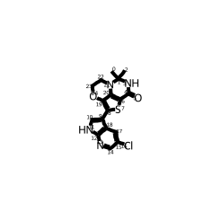 CC1(C)NC(=O)c2sc(-c3c[nH]c4ncc(Cl)cc34)c3c2N1CCO3